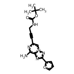 CC(C)(C)OC(=O)NCC#Cc1cn2nc(-c3ccco3)nc2c(N)n1